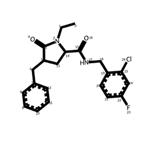 CCN1C(=O)C(Cc2ccccc2)CC1C(=O)NCc1ccc(F)cc1Cl